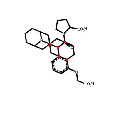 O=C(O)COc1cccc(N(C(=O)N2CCCC2C(=O)O)C2CC3CCCC(C2)N3C2CC3CCCC(C3)C2)c1